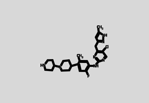 Cc1cc(Cc2nc(Nc3cc(C)c(C4CCN(C5CCNCC5)CC4)cc3F)ncc2Cl)n[nH]1